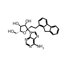 Nc1ncnc2c1ncn2[C@]1(CCc2cccc3c2Cc2ccccc2-3)O[C@H](CO)[C@@H](O)[C@H]1O